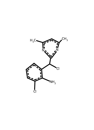 Cc1cc(C)nc(C(Cl)c2cccc(Cl)c2N)n1